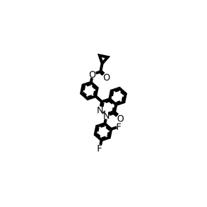 O=C(Oc1cccc(-c2nn(-c3ccc(F)cc3F)c(=O)c3ccccc23)c1)C1CC1